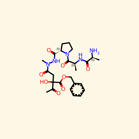 CC(=O)C(O)(CC(=O)N(C)NC(=O)[C@@H]1CCCN1C(=O)[C@H](C)NC(=O)[C@H](C)N)C(=O)OCc1ccccc1